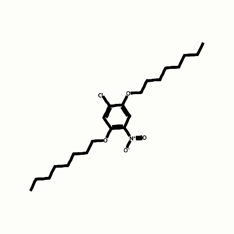 CCCCCCCCOc1cc([N+](=O)[O-])c(OCCCCCCCC)cc1Cl